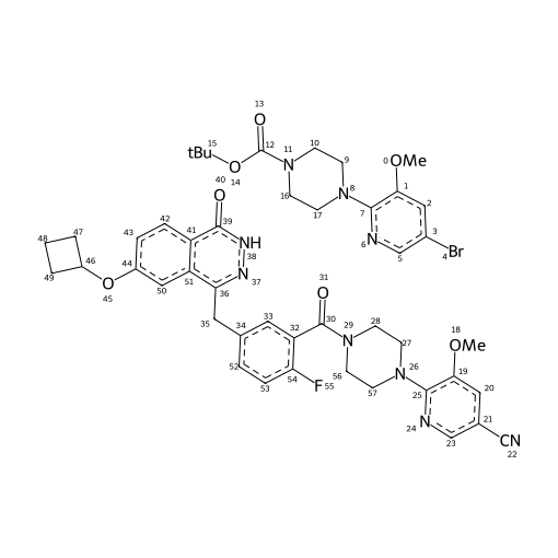 COc1cc(Br)cnc1N1CCN(C(=O)OC(C)(C)C)CC1.COc1cc(C#N)cnc1N1CCN(C(=O)c2cc(Cc3n[nH]c(=O)c4ccc(OC5CCC5)cc34)ccc2F)CC1